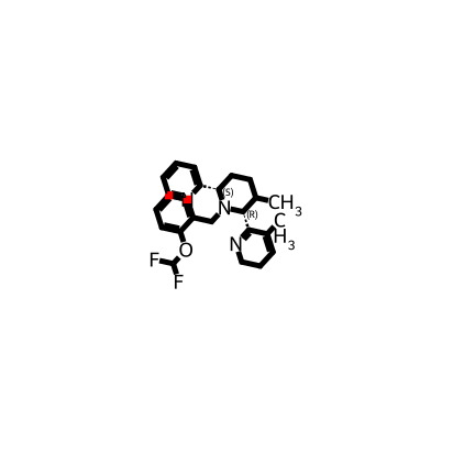 CC1=CCCN=C1[C@H]1C(C)CC[C@@H](c2ccccn2)N1Cc1ccccc1OC(F)F